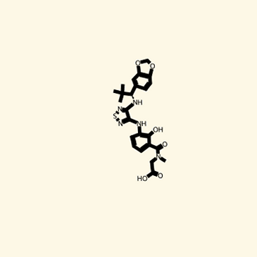 CN(CC(=O)O)C(=O)c1cccc(Nc2nsnc2N[C@@H](c2ccc3c(c2)OCO3)C(C)(C)C)c1O